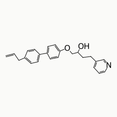 C=CCc1ccc(-c2ccc(OCC(O)CCc3cccnc3)cc2)cc1